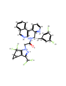 O=C(Cn1nc(C(F)F)c2c1C(F)(F)C1CC21)N[C@@H](Cc1cc(F)cc(F)c1)c1ncccc1-c1cncc2ccccc12